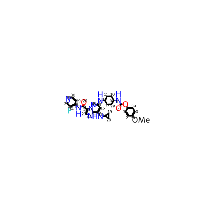 COc1ccc(OC(=O)N[C@H]2CC[C@H](Nc3cc(NC4CC4)c4ncc(C(=O)Nc5ccncc5F)n4n3)CC2)cc1